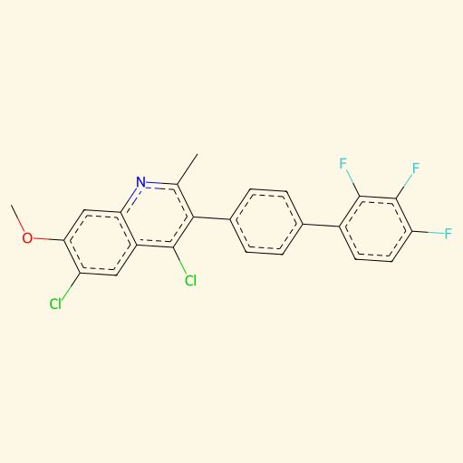 COc1cc2nc(C)c(-c3ccc(-c4ccc(F)c(F)c4F)cc3)c(Cl)c2cc1Cl